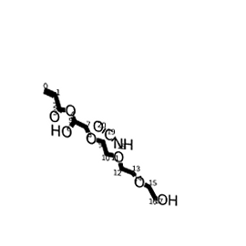 C=CC(=O)OC(O)COCCOCCOCCO.N=C=O